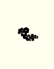 CNS(=O)(=O)c1ncc2cc(C)c(-c3ccccc3NS(C)(=O)=O)n2n1